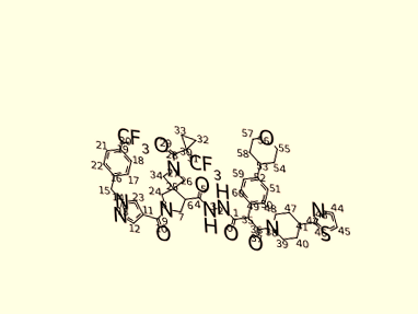 O=C(NNC(=O)C1CN(C(=O)c2cnn(Cc3ccc(C(F)(F)F)cc3)c2)CC12CN(C(=O)C1(C(F)(F)F)CC1)C2)C(C(=O)N1CCC(c2nccs2)CC1)c1ccc(C2CCOCC2)cc1